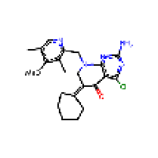 COc1c(C)cnc(CN2CC(=C3CCCCC3)C(=O)c3c(Cl)nc(N)nc32)c1C